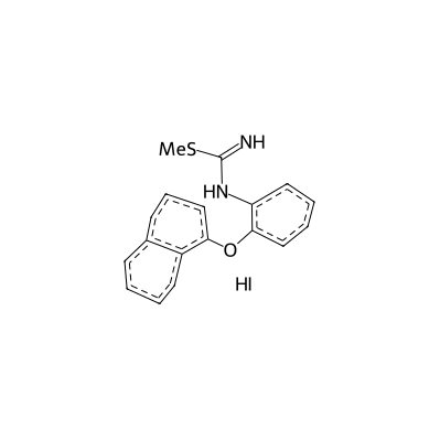 CSC(=N)Nc1ccccc1Oc1cccc2ccccc12.I